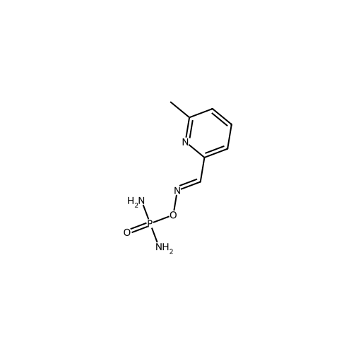 Cc1cccc(C=NOP(N)(N)=O)n1